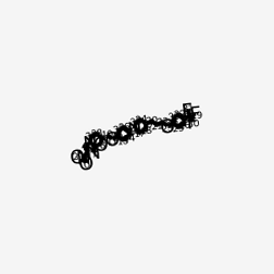 O=[N+]([O-])c1cn2c(n1)O[C@@H](COc1ccc(N3CCC(CCCOc4ccc(C(F)(F)F)cc4)CC3)cc1)CC2